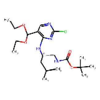 CCOC(OCC)c1cnc(Cl)nc1N[C@H](CNC(=O)OC(C)(C)C)CC(C)C